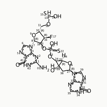 Nc1nc2c(ncn2[C@@H]2O[C@H](CO[PH](O)=S)[C@@H](F)[C@H]2OP(O)(=S)OC2[C@H]3O[C@@H](n4cnc5c(=O)[nH]cnc54)C[C@@]23O)c(=O)[nH]1